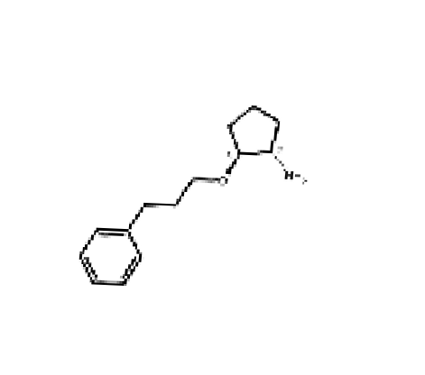 N[C@H]1CCC[C@@H]1OCCCc1ccccc1